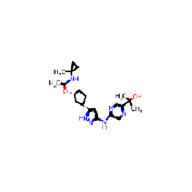 C=C(NC1(C)CC1)O[C@@H]1CC[C@H](c2cc(Nc3cnc(C(C)(C)O)cn3)n[nH]2)C1